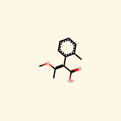 COC(C)=C(C(=O)O)c1ccccc1C